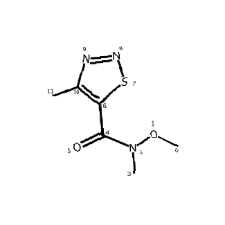 CON(C)C(=O)c1snnc1C